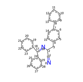 N#CC(Cc1ccc(-c2ccccc2)cc1)N=C(c1ccccc1)c1ccccc1